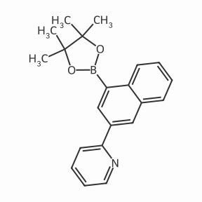 CC1(C)OB(c2cc(-c3ccccn3)cc3ccccc23)OC1(C)C